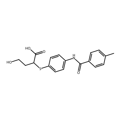 Cc1ccc(C(=O)Nc2ccc(SC(CCO)C(=O)O)cc2)cc1